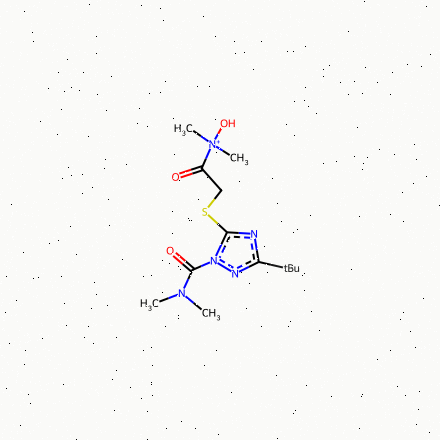 CN(C)C(=O)n1nc(C(C)(C)C)nc1SCC(=O)[N+](C)(C)O